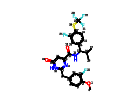 COc1ccc(Cc2nc(C(=O)NC(c3ccc(SC(F)(F)F)c(F)c3)C(C)C)cc(=O)[nH]2)cc1F